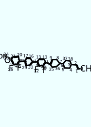 C/C=C/C1CCC(C2CC=C(c3ccc(-c4ccc(-c5ccc(OCCCCCCCCC)c(F)c5F)cc4)c(F)c3F)CC2)CC1